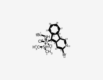 C[SiH](C)[Zr]([Cl])([Cl])([NH]C(C)(C)C)[C]1=C2C=C(Br)N=CC2c2ccccc21